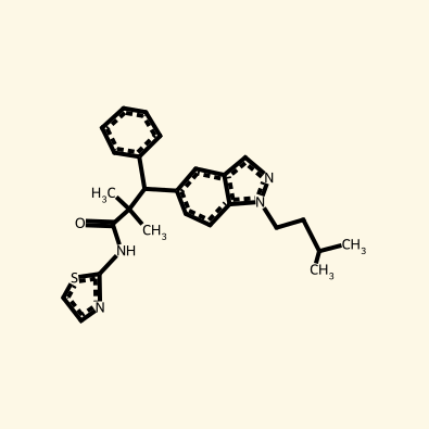 CC(C)CCn1ncc2cc(C(c3ccccc3)C(C)(C)C(=O)Nc3nccs3)ccc21